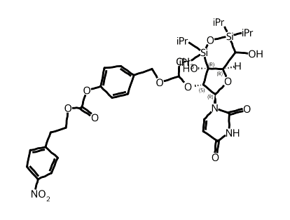 CC(OCc1ccc(OC(=O)OCCc2ccc([N+](=O)[O-])cc2)cc1)O[C@H]1[C@H](n2ccc(=O)[nH]c2=O)O[C@@H]2C(O)[Si](C(C)C)(C(C)C)O[Si](C(C)C)(C(C)C)[C@@]21O